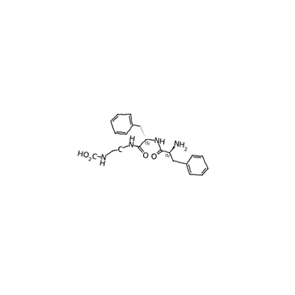 N[C@@H](Cc1ccccc1)C(=O)N[C@@H](Cc1ccccc1)C(=O)NCCNC(=O)O